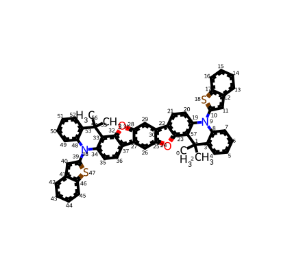 CC1(C)c2ccccc2N(c2cc3ccccc3s2)c2ccc3c(oc4cc5c(cc43)oc3c4c(ccc35)N(c3cc5ccccc5s3)c3ccccc3C4(C)C)c21